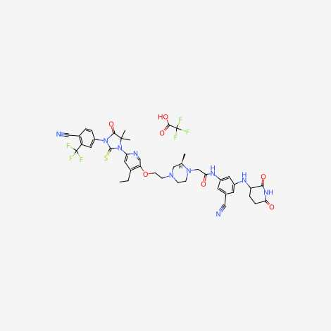 CCc1cc(N2C(=S)N(c3ccc(C#N)c(C(F)(F)F)c3)C(=O)C2(C)C)ncc1OCCN1CCN(CC(=O)Nc2cc(C#N)cc(NC3CCC(=O)NC3=O)c2)[C@H](C)C1.O=C(O)C(F)(F)F